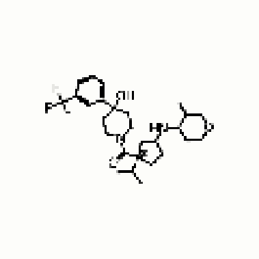 CC1COCCC1NC1CC[C@@](C(=O)N2CCC(O)(c3cccc(C(F)(F)F)c3)CC2)(C(C)C)C1